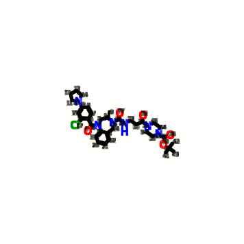 C[C@@H]1CN(C(=O)c2ccc(N3CCCC3)cc2Cl)c2ccccc2CN1C(=O)NCCC(=O)N1CCN(C(=O)OC(C)(C)C)CC1